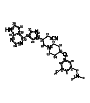 CN(C)Cc1cc(F)cc(OC2CCN(C[C@H](CC#N)n3cc(-c4ncnc5[nH]ccc45)cn3)CC2)c1